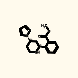 COC(=O)c1ccccc1[C@@H]1C[C@@H](n2cccn2)CCN1